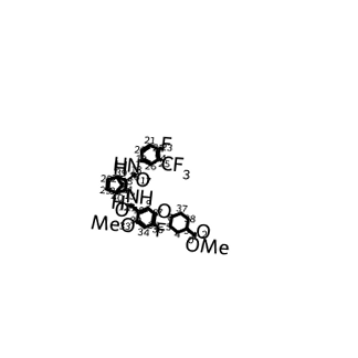 COC(=O)C1CCC(Oc2cc(C(=O)N[C@@H]3[C@H](C(=O)Nc4ccc(F)c(C(F)(F)F)c4)[C@H]4C=C[C@@H]3C4)c(OC)cc2F)CC1